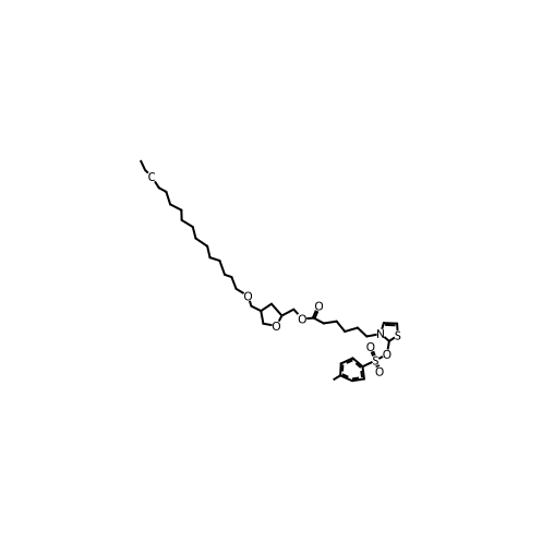 CCCCCCCCCCCCCCCCOCC1COC(COC(=O)CCCCCN2C=CSC2OS(=O)(=O)c2ccc(C)cc2)C1